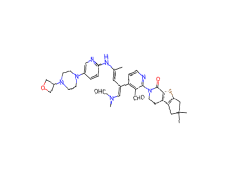 C/C(=C\C(=C/N(C)C=O)c1ccnc(N2CCc3c(sc4c3CC(C)(C)C4)C2=O)c1C=O)Nc1ccc(N2CCN(C3COC3)CC2)cn1